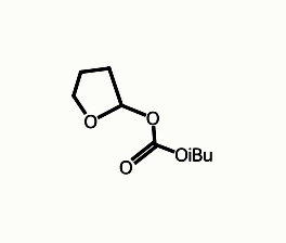 CC(C)COC(=O)OC1CCCO1